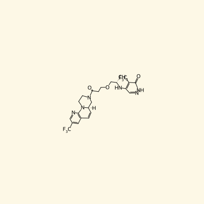 C[C@@H](COCCC(=O)N1CCN2c3ncc(C(F)(F)F)cc3C=C[C@@H]2C1)Nc1cn[nH]c(=O)c1C(F)(F)F